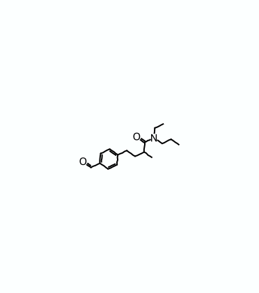 CCCN(CC)C(=O)C(C)CCc1ccc(C=O)cc1